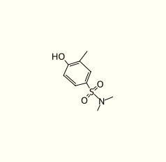 Cc1cc(S(=O)(=O)N(C)C)ccc1O